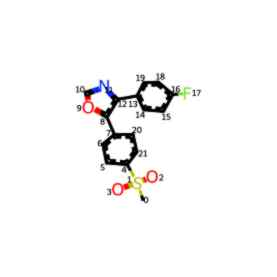 CS(=O)(=O)c1ccc(-c2ocnc2-c2ccc(F)cc2)cc1